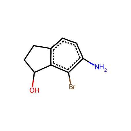 Nc1ccc2c(c1Br)C(O)CC2